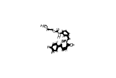 O=C(Nc1cccc(Cn2nc(-c3ccc(F)c(F)c3)ccc2=O)c1)OCCO